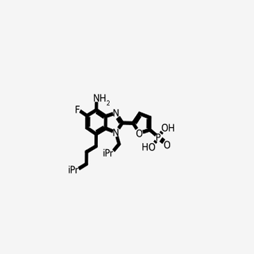 CC(C)CCCc1cc(F)c(N)c2nc(-c3ccc(P(=O)(O)O)o3)n(CC(C)C)c12